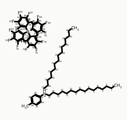 CCCCCCCCCCCCCCCC[NH+](CCCCCCCCCCCCCCCC)c1ccc(C)cc1.Fc1c(F)c(F)c([B-](c2c(F)c(F)c(F)c(F)c2F)(c2c(F)c(F)c(F)c(F)c2F)c2c(F)c(F)c(F)c(F)c2F)c(F)c1F